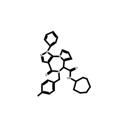 Cc1ccc(CN2C(=O)c3cnn(-c4ccccc4)c3-n3cccc3C2C(=O)NC2CCCCCC2)cc1